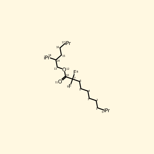 CC(C)CCCCCCC(F)(F)C(=O)OCC(CCC(C)C)C(C)C